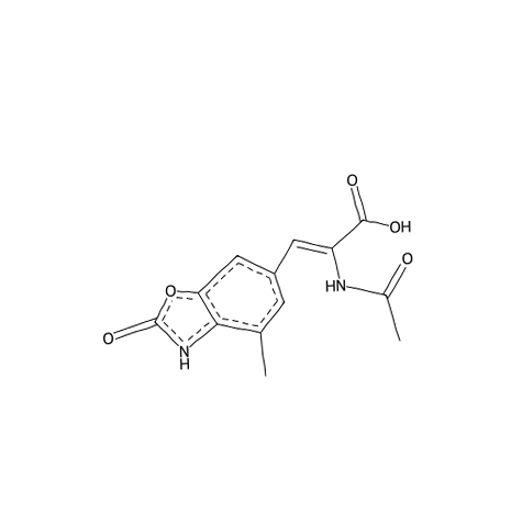 CC(=O)NC(=Cc1cc(C)c2[nH]c(=O)oc2c1)C(=O)O